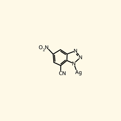 N#Cc1cc([N+](=O)[O-])cc2nn[n]([Ag])c12